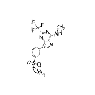 CNc1nc(C(F)(F)F)nc2c1ncn2-c1cccc(S(C)(=O)=O)c1